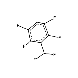 Fc1[c]c(F)c(F)c(C(F)F)c1F